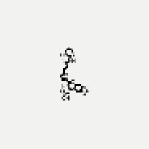 O=C(O)C[C@@H](NC(=O)c1ccc(C=CC(=O)NC2=NCCCN2)s1)c1ccc2c(c1)OCO2